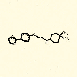 CC1(C)CCC(NCCOc2ccc(-c3nccs3)cc2)CC1